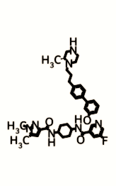 Cc1cc(C(=O)NC2CCC(NC(=O)c3cc(F)cnc3Oc3cccc(-c4ccc(CCCN5CCNC[C@H]5C)cc4)c3)CC2)nn1C